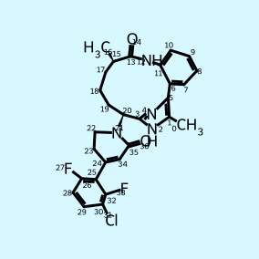 Cc1[nH]c2nc1-c1ccccc1NC(=O)[C@H](C)CCC[C@@H]2N1CCC(c2c(F)ccc(Cl)c2F)=CC1=O